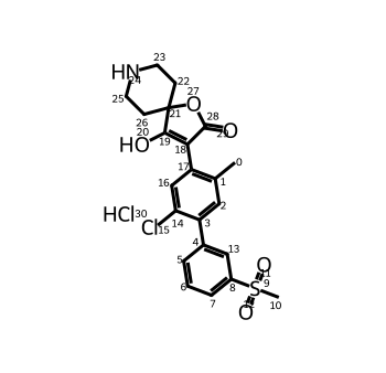 Cc1cc(-c2cccc(S(C)(=O)=O)c2)c(Cl)cc1C1=C(O)C2(CCNCC2)OC1=O.Cl